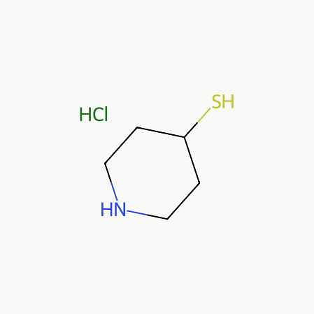 Cl.SC1CCNCC1